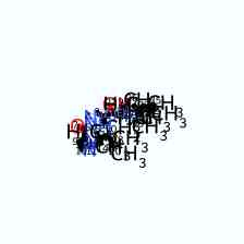 C=CC(/C=N\NC(=O)c1ccnn1C(C)(C)CC(C)CC)=C(O)\C=C(/C=C)N(CC)C(C)(C)CC(C)(C)C